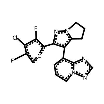 Fc1ccc(-c2nn3c(c2-c2cccn4ncnc24)CCC3)c(F)c1Cl